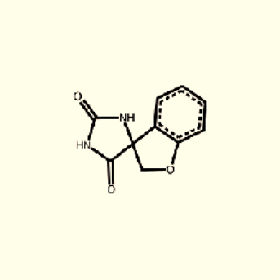 O=C1NC(=O)C2(COc3ccccc32)N1